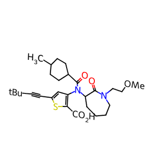 COCCN1CCCCC(N(C(=O)C2CCC(C)CC2)c2cc(C#CC(C)(C)C)sc2C(=O)O)C1=O